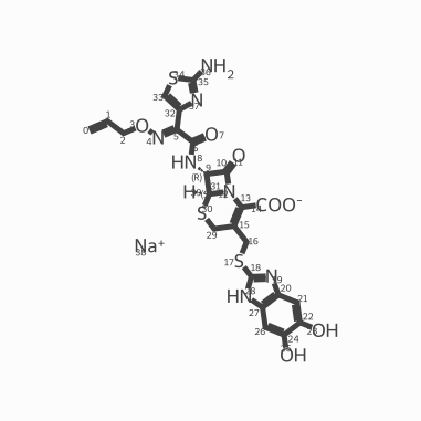 C=CCON=C(C(=O)N[C@@H]1C(=O)N2C(C(=O)[O-])=C(CSc3nc4cc(O)c(O)cc4[nH]3)CS[C@@H]12)c1csc(N)n1.[Na+]